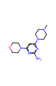 CN1CCN(c2cc(N3CCOCC3)nc(N)n2)CC1